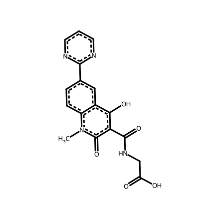 Cn1c(=O)c(C(=O)NCC(=O)O)c(O)c2cc(-c3ncccn3)ccc21